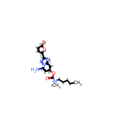 CCCCCN(C)C(=O)Oc1cc(N)n2nc(-c3ccc(Br)o3)nc2c1